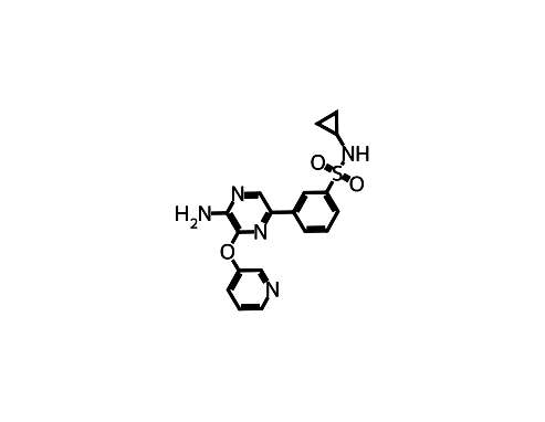 Nc1ncc(-c2cccc(S(=O)(=O)NC3CC3)c2)nc1Oc1cccnc1